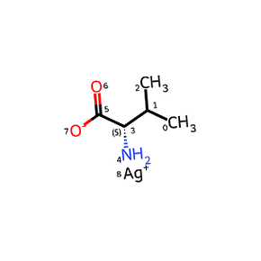 CC(C)[C@H](N)C(=O)[O-].[Ag+]